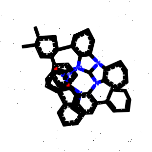 Cc1cc2c(cc1C)-c1ccc3c4ccccc4n4c3c1[N+]1(c3c-2cccc3N2c3ccccc3N(c3c(C5=CC=CCC5)cccc3-c3ccccc3)C21)[n+]1ccccc1-4